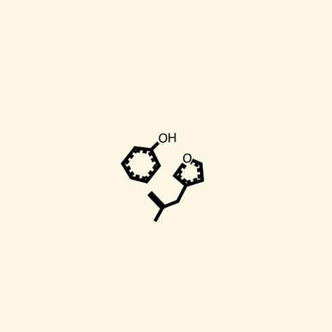 C=C(C)Cc1ccoc1.Oc1ccccc1